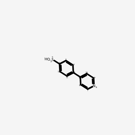 O=S(=O)(O)c1ccc(-c2ccncc2)cc1